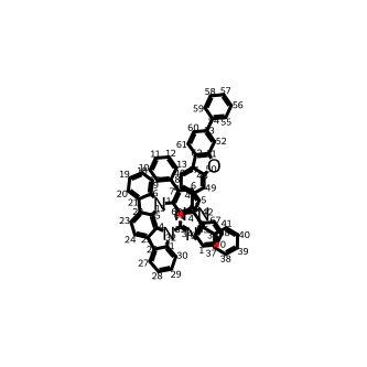 c1ccc(-c2ccc(-c3ccccc3)c(-n3c4ccccc4c4ccc5c6ccccc6n(-c6nc(-c7ccccc7)nc(-c7ccc8c(c7)oc7cc(-c9ccccc9)ccc78)n6)c5c43)c2)cc1